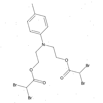 Cc1ccc(N(CCOC(=O)C(Br)Br)CCOC(=O)C(Br)Br)cc1